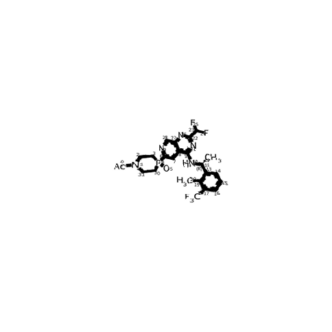 CC(=O)N1CCP(=O)(c2cc3c(N[C@H](C)c4cccc(C(F)(F)F)c4C)nc(C(F)F)nc3cn2)CC1